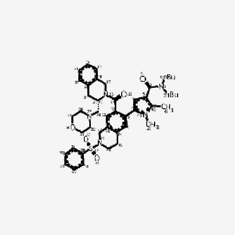 CCCCN(CCCC)C(=O)c1cc(-c2cc3c(cc2C(=O)N2Cc4ccccc4C[C@H]2CN2CCOCC2)CN(S(=O)(=O)c2ccccc2)CC3)n(C)c1C